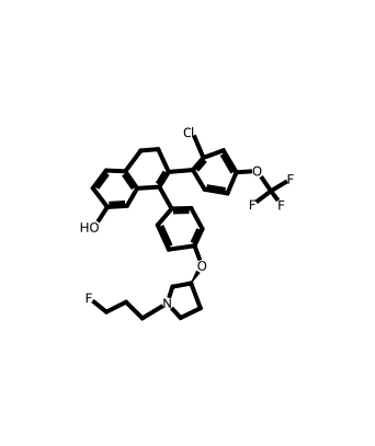 Oc1ccc2c(c1)C(c1ccc(O[C@H]3CCN(CCCF)C3)cc1)=C(c1ccc(OC(F)(F)F)cc1Cl)CC2